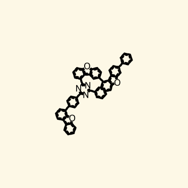 c1ccc(-c2ccc3c(c2)oc2cccc(-c4ccc5oc6cccc(-c7nc(-c8ccccc8)nc(-c8ccc(-c9cccc%10c9oc9ccccc9%10)cc8)n7)c6c5c4)c23)cc1